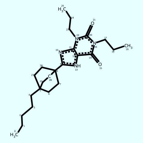 CCCCCC12CCC(c3nc4c([nH]3)c(=O)n(CCC)c(=O)n4CCC)(CC1)CC2